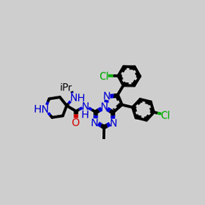 Cc1nc(NC(=O)C2(NC(C)C)CCNCC2)n2nc(-c3ccccc3Cl)c(-c3ccc(Cl)cc3)c2n1